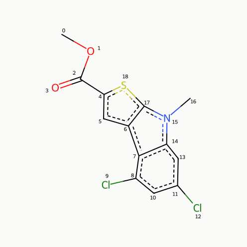 COC(=O)c1cc2c3c(Cl)cc(Cl)cc3n(C)c2s1